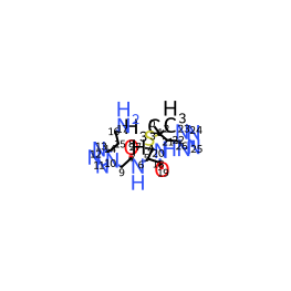 CC1(C)S[C@H]2C(NC(=O)Cn3nnnc3CCN)C(=O)N2C1c1nnn[nH]1